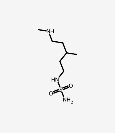 CNCCC(C)CCNS(N)(=O)=O